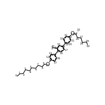 CCCCCCCCCCOc1ccc(-c2ccc(-c3ccc(O[C@H](C)CCCCC)cc3)cc2F)cc1